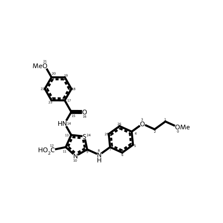 COCCOc1ccc(Nc2nc(C(=O)O)c(NC(=O)c3ccc(OC)cc3)s2)cc1